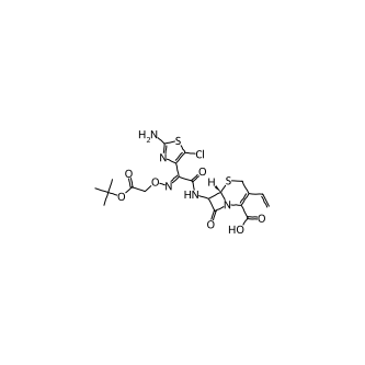 C=CC1=C(C(=O)O)N2C(=O)C(NC(=O)C(=NOCC(=O)OC(C)(C)C)c3nc(N)sc3Cl)[C@@H]2SC1